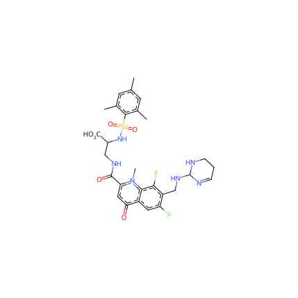 Cc1cc(C)c(S(=O)(=O)NC(CNC(=O)c2cc(=O)c3cc(F)c(CNC4N=CCCN4)c(F)c3n2C)C(=O)O)c(C)c1